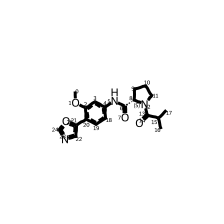 COc1cc(NC(=O)[C@@H]2CCCN2C(=O)C(C)C)ccc1-c1cnco1